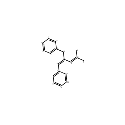 CC(C)=CC(=Cc1ccccc1)Cc1ccccc1